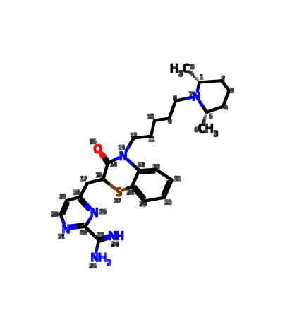 C[C@@H]1CCC[C@H](C)N1CCCCCN1C(=O)C(Cc2ccnc(C(=N)N)n2)Sc2ccccc21